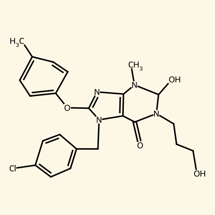 Cc1ccc(Oc2nc3c(n2Cc2ccc(Cl)cc2)C(=O)N(CCCO)C(O)N3C)cc1